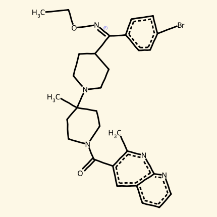 CCO/N=C(/c1ccc(Br)cc1)C1CCN(C2(C)CCN(C(=O)c3cc4cccnc4nc3C)CC2)CC1